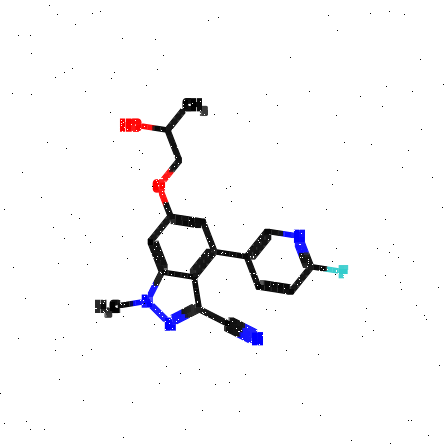 CC(O)COc1cc(-c2ccc(F)nc2)c2c(C#N)nn(C)c2c1